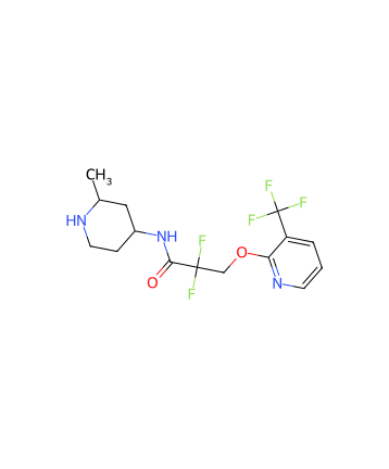 CC1CC(NC(=O)C(F)(F)COc2ncccc2C(F)(F)F)CCN1